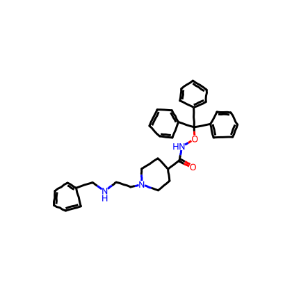 O=C(NOC(c1ccccc1)(c1ccccc1)c1ccccc1)C1CCN(CCNCc2ccccc2)CC1